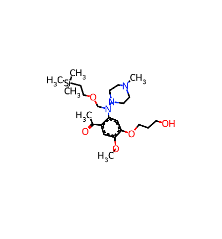 COc1cc(C(C)=O)c(N(COCC[Si](C)(C)C)N2CCN(C)CC2)cc1OCCCO